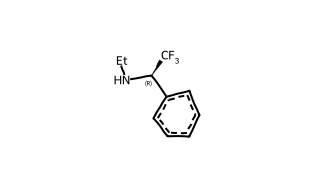 CCN[C@H](c1ccccc1)C(F)(F)F